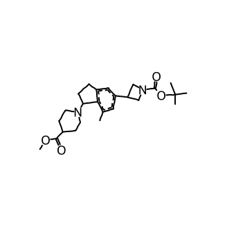 COC(=O)C1CCN(C2CCc3cc(C4CN(C(=O)OC(C)(C)C)C4)cc(C)c32)CC1